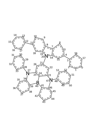 c1ccc(-c2ccc3c4ccc(-c5ccccc5)cc4n(-c4cc5c6c(c4)N(c4ccccc4)c4ccccc4B6c4ccccc4N5c4ccccc4)c3c2)cc1